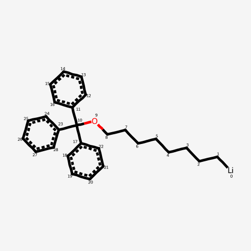 [Li][CH2]CCCCCCCOC(c1ccccc1)(c1ccccc1)c1ccccc1